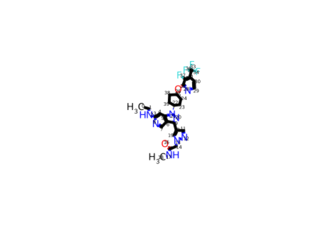 CCNc1cc2c(cn1)c(-c1cnn(CC(=O)NC)c1)nn2[C@H]1CC[C@@H](Oc2nccc(C(F)(F)F)c2F)CC1